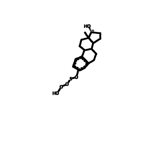 CC12CCC3c4ccc(OSOOO)cc4CCC3C1CC[C@H]2O